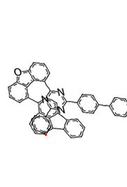 c1ccc(-c2ccc(-c3nc(-c4ccccc4)nc(-c4cccc5oc6cccc(-c7ccc8c9c(cccc79)-c7ccccc7-8)c6c45)n3)cc2)cc1